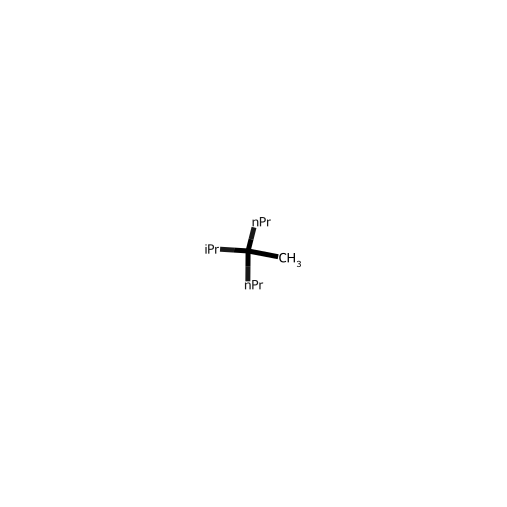 CCCC(C)(CCC)C(C)C